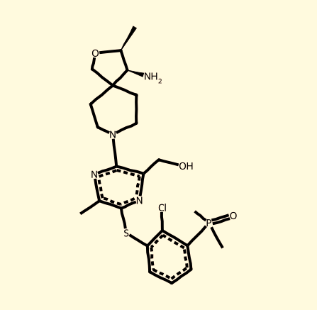 Cc1nc(N2CCC3(CC2)CO[C@@H](C)[C@H]3N)c(CO)nc1Sc1cccc(P(C)(C)=O)c1Cl